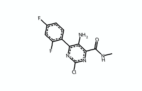 CNC(=O)c1nc(Cl)nc(-c2ccc(F)cc2F)c1N